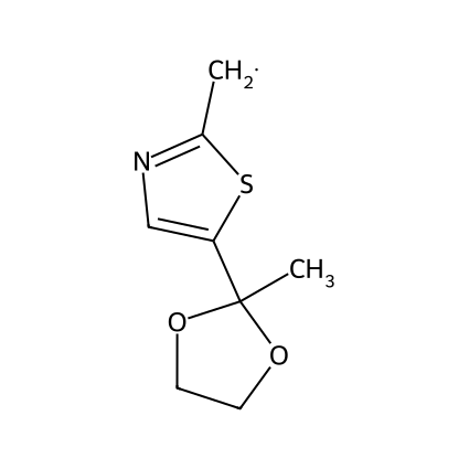 [CH2]c1ncc(C2(C)OCCO2)s1